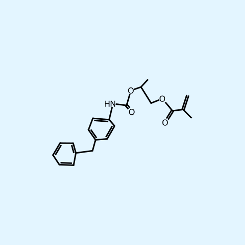 C=C(C)C(=O)OCC(C)OC(=O)Nc1ccc(Cc2ccccc2)cc1